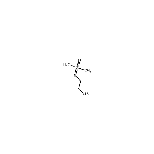 CCCN=S(C)(C)=O